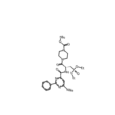 CCCCOC(=O)N1CCN(C(=O)[C@H](CP(=O)(OCC)OCC)NC(=O)c2cc(NC)nc(-c3ccccc3)n2)CC1